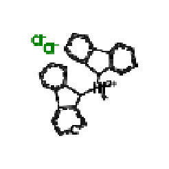 [CH2]=[Hf+2]([CH]1c2ccccc2-c2ccccc21)[CH]1c2ccccc2-c2ccccc21.[Cl-].[Cl-]